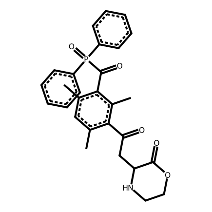 Cc1cc(C)c(C(=O)P(=O)(c2ccccc2)c2ccccc2)c(C)c1C(=O)CC1NCCOC1=O